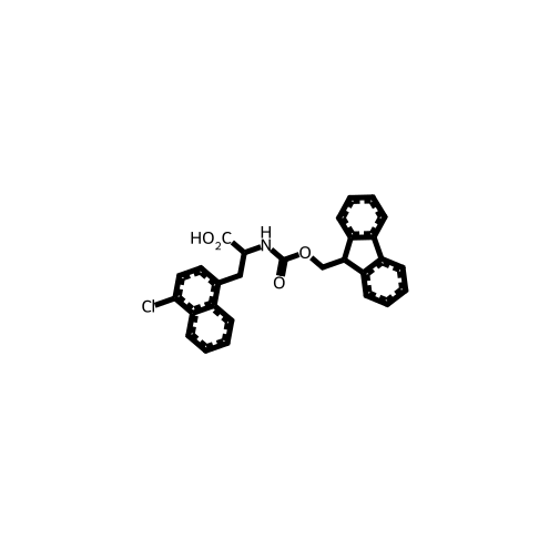 O=C(NC(Cc1ccc(Cl)c2ccccc12)C(=O)O)OCC1c2ccccc2-c2ccccc21